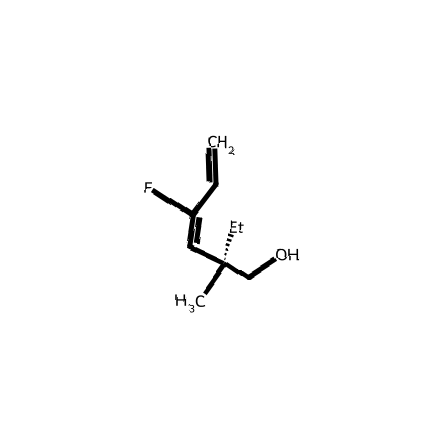 C=C/C(F)=C\[C@@](C)(CC)CO